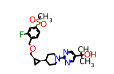 CC(C)(O)c1cnc(N2CCC([C@H]3C[C@H]3COCc3ccc(S(C)(=O)=O)cc3F)CC2)nc1